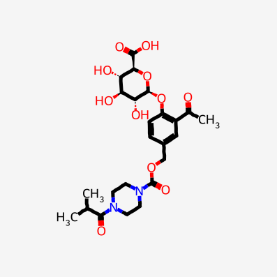 CC(=O)c1cc(COC(=O)N2CCN(C(=O)C(C)C)CC2)ccc1O[C@@H]1O[C@H](C(=O)O)[C@@H](O)[C@H](O)[C@H]1O